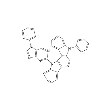 c1ccc(-n2cnc3nc(-n4c5ccccc5c5ccc6c(c7ccccc7n6-c6ccccc6)c54)ncc32)cc1